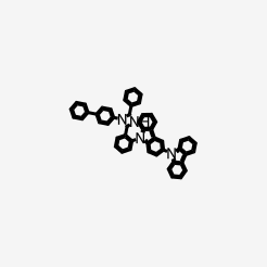 c1ccc(-c2ccc(N3C(c4ccccc4)NC3c3ccccc3-n3c4ccccc4c4cc(-n5c6ccccc6c6ccccc65)ccc43)cc2)cc1